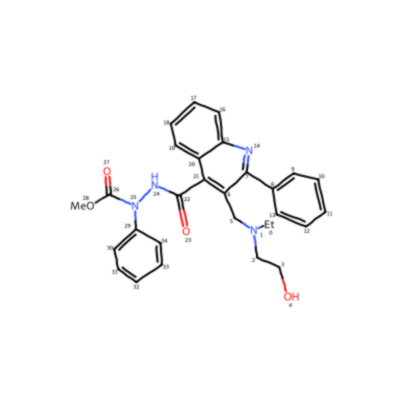 CCN(CCO)Cc1c(-c2ccccc2)nc2ccccc2c1C(=O)NN(C(=O)OC)c1ccccc1